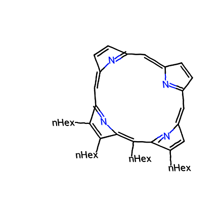 CCCCCCC1=CC2=CC3=NC(=CC4=NC(=CC5=NC(=C(CCCCCC)C1=N2)C(CCCCCC)=C5CCCCCC)C=C4)C=C3